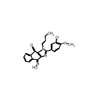 CCCCn1c(-c2ccc(OC)c(Cl)c2)nc2c1C(=O)c1ccccc1C2=NO